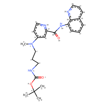 CN(CCCNC(=O)OC(C)(C)C)c1ccnc(C(=O)Nc2cccc3cccnc23)c1